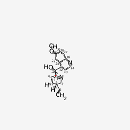 C=C[C@H]1CN2CC[C@H]1CC2C(O)c1ccnc2ccc(OC)cc12